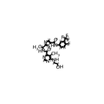 Cc1c(NCCO)ncnc1C(=O)NC(C)c1ncc(C(=O)Nc2ccc(F)c(C(F)(F)F)c2)s1